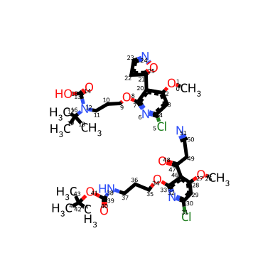 COc1cc(Cl)nc(OCCCN(C(=O)O)C(C)(C)C)c1-c1ccno1.COc1cc(Cl)nc(OCCCNC(=O)OC(C)(C)C)c1C(=O)CC#N